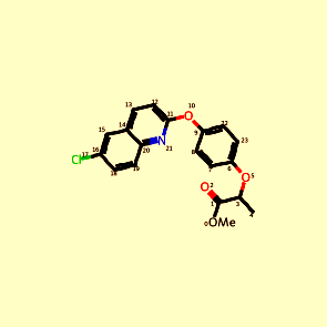 COC(=O)C(C)Oc1ccc(Oc2ccc3cc(Cl)ccc3n2)cc1